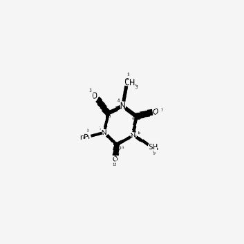 CCCn1c(=O)n(C)c(=O)n(S)c1=O